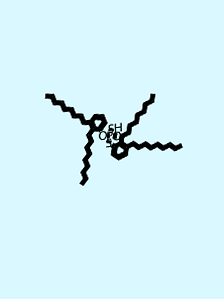 CCCCCCCCCc1cccc(OP(=O)(S)Sc2cccc(CCCCCCCCC)c2CCCCCCCCC)c1CCCCCCCCC